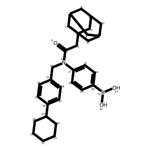 O=C(CC12CC3CC(CC(C3)C1)C2)N(Cc1ccc(C2CCCCC2)cc1)c1ccc(B(O)O)cc1